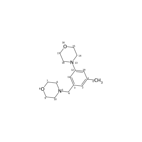 Cc1cc(CN2CCOCC2)cc(N2CCOCC2)c1